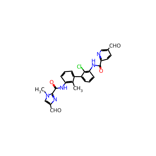 Cc1c(NC(=O)c2nc(C=O)cn2C)cccc1-c1cccc(NC(=O)c2ccc(C=O)cn2)c1Cl